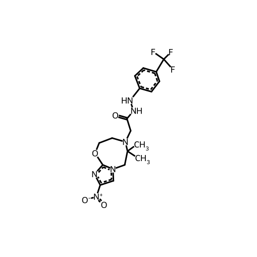 CC1(C)Cn2cc([N+](=O)[O-])nc2OCCN1CC(=O)NNc1ccc(C(F)(F)F)cc1